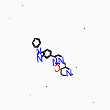 CN1CCCC(Cn2ccc(-c3ccc4c(c3)ncn4-c3ccccc3)nc2=O)C1